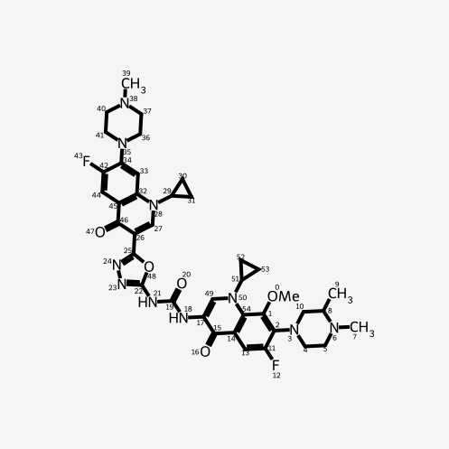 COc1c(N2CCN(C)C(C)C2)c(F)cc2c(=O)c(NC(=O)Nc3nnc(-c4cn(C5CC5)c5cc(N6CCN(C)CC6)c(F)cc5c4=O)o3)cn(C3CC3)c12